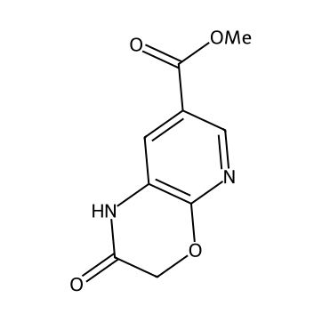 COC(=O)c1cnc2c(c1)NC(=O)CO2